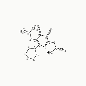 CC(C)CC1=CC(C2CCCCC2)=C(CC(C)C)C(=O)C1=O